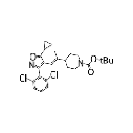 CC(=Cc1c(-c2c(Cl)cccc2Cl)noc1C1CC1)C1CCN(C(=O)OC(C)(C)C)CC1